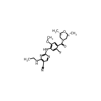 CCNc1nc(Nc2cc(F)c(C(=O)N3C[C@@H](C)O[C@@H](C)C3)cc2OC)ncc1C#N